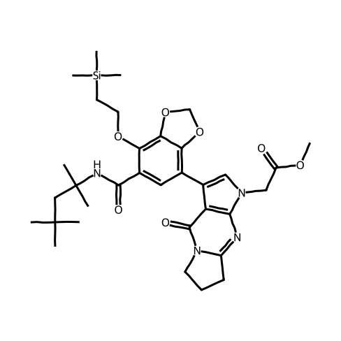 COC(=O)Cn1cc(-c2cc(C(=O)NC(C)(C)CC(C)(C)C)c(OCC[Si](C)(C)C)c3c2OCO3)c2c(=O)n3c(nc21)CCC3